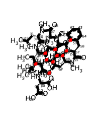 CC[C@H](C)[C@@H](C(=O)N[C@@H](CC(=O)O)C(=O)O)N(C)C(=O)[C@H](COC(C)(C)C)NC(=O)[C@H](CC(C)C)N(C)C(=O)CN(C)C(=O)[C@@H](NC(=O)[C@H](CC(C)C)N(C)C(=O)[C@H](Cc1ccccc1)N(C)C(=O)[C@H](C)N(C)C(=O)[C@H](C)N)[C@@H](C)O